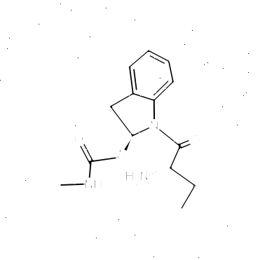 CC[C@H](N)C(=O)N1c2ccccc2C[C@@H]1OC(=O)NC